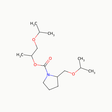 CC(C)OCC(C)OC(=O)N1CCCC1COC(C)C